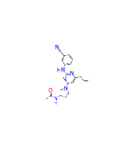 CCCc1cc(N2CCC(NC(C)=O)C2)nc(Nc2cccc(C#N)c2)n1